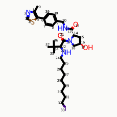 Cc1ncsc1-c1ccc(CNC(=O)[C@@H]2C[C@@H](O)CN2C(=O)C(NCCCCCCCCCI)C(C)(C)C)cc1